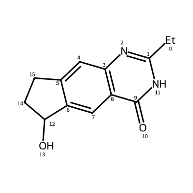 CCc1nc2cc3c(cc2c(=O)[nH]1)C(O)CC3